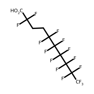 O=C(O)C(F)(F)CCC(F)(F)C(F)(F)C(F)(F)C(F)(F)C(F)(F)C(F)(F)F